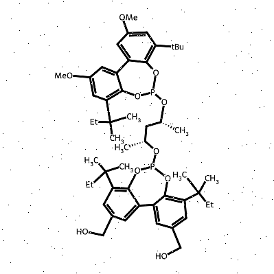 CCC(C)(C)c1cc(OC)cc2c1op(O[C@H](C)C[C@@H](C)Op1oc3c(C(C)(C)CC)cc(CO)cc3c3cc(CO)cc(C(C)(C)CC)c3o1)oc1c(C(C)(C)C)cc(OC)cc12